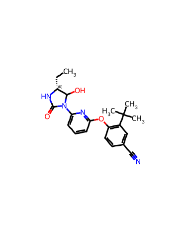 CC[C@H]1NC(=O)N(c2cccc(Oc3ccc(C#N)cc3C(C)(C)C)n2)C1O